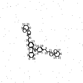 c1ccc(N(c2ccc(CCCOC3CCCCO3)cc2)c2ccc(CCCOC3CCCCO3)cc2)cc1